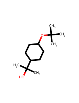 CC(C)(C)OC1CCC(C(C)(C)O)CC1